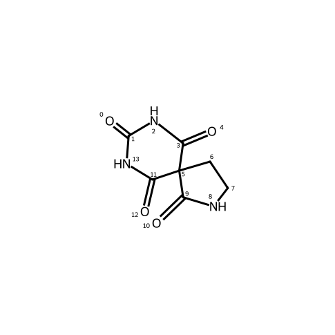 O=C1NC(=O)C2(CCNC2=O)C(=O)N1